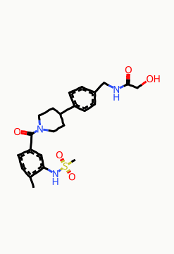 Cc1ccc(C(=O)N2CCC(c3ccc(CNC(=O)CO)cc3)CC2)cc1NS(C)(=O)=O